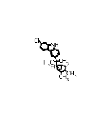 CC1CC2CC(C1C)[C@H]2C(C)(C)c1ccc2[nH]c3cc(Cl)ccc3c2c1